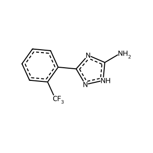 Nc1nc(-c2ccccc2C(F)(F)F)n[nH]1